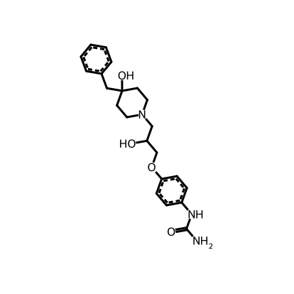 NC(=O)Nc1ccc(OCC(O)CN2CCC(O)(Cc3ccccc3)CC2)cc1